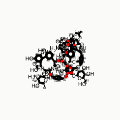 CC(C)C[C@H](C(=O)N[C@H]1C(=O)N[C@@H](CC(N)=O)C(=O)N[C@H]2C(=O)N[C@H]3C(=O)N[C@H](C(=O)N[C@H](C(=O)O)c4cc(O)cc(O)c4-c4cc3ccc4O)[C@H](O[C@H]3C[C@](C)(N)[C@@H](O)[C@H](C)O3)c3ccc(c(Cl)c3)Oc3cc2cc(c3O[C@@H]2O[C@H](CO)[C@@H](O)[C@H](O)[C@H]2O[C@H]2C[C@](C)(NCc3ccc(-c4ccc(Cl)cc4)cc3)[C@@H](O)[C@H](C)O2)Oc2ccc(cc2Cl)[C@H]1O)N(C)C(=O)CC(P(=O)(O)O)P(=O)(O)O